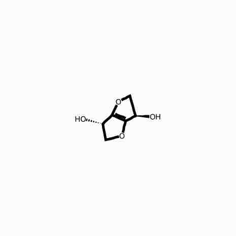 O[C@@H]1COC2=C1OC[C@@H]2O